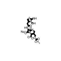 CC(=O)OCC1=C(C(=O)[O-])N2C(=O)C(NC(=O)Cc3csc(=N)n3O)[C@@H]2SC1.[Na+]